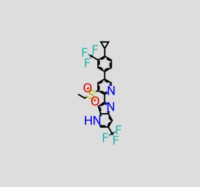 CCS(=O)(=O)c1cc(-c2ccc(C3CC3)c(C(F)(F)F)c2)cnc1-c1cc2[nH]cc(C(F)(F)F)cc-2n1